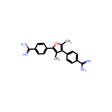 Cc1oc(-c2ccc(C(=N)N)cc2)c(C)c1-c1ccc(C(=N)N)cc1